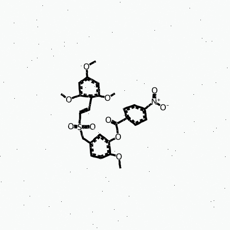 COc1cc(OC)c(C=CS(=O)(=O)Cc2ccc(OC)c(OC(=O)c3ccc([N+](=O)[O-])cc3)c2)c(OC)c1